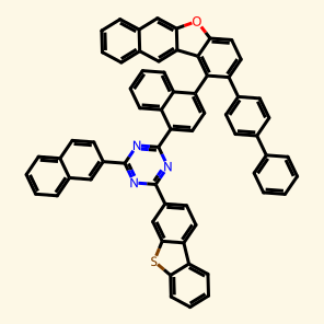 c1ccc(-c2ccc(-c3ccc4oc5cc6ccccc6cc5c4c3-c3ccc(-c4nc(-c5ccc6ccccc6c5)nc(-c5ccc6c(c5)sc5ccccc56)n4)c4ccccc34)cc2)cc1